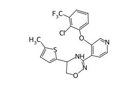 Cc1ccc(C2CON=C(c3ccncc3Oc3cccc(C(F)(F)F)c3Cl)N2)s1